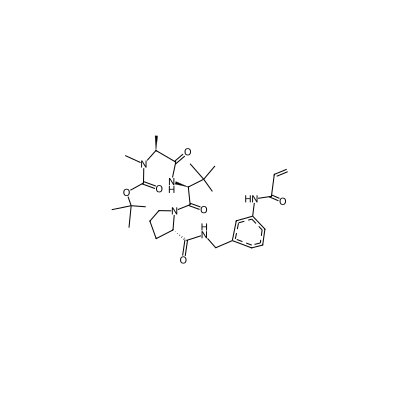 C=CC(=O)Nc1cccc(CNC(=O)[C@@H]2CCCN2C(=O)[C@@H](NC(=O)[C@H](C)N(C)C(=O)OC(C)(C)C)C(C)(C)C)c1